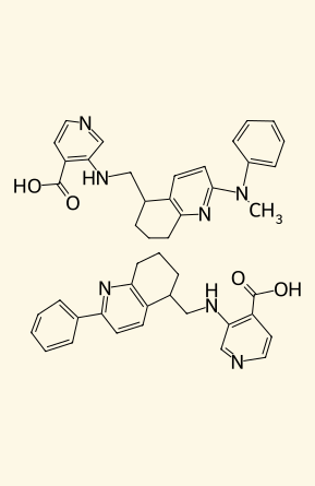 CN(c1ccccc1)c1ccc2c(n1)CCCC2CNc1cnccc1C(=O)O.O=C(O)c1ccncc1NCC1CCCc2nc(-c3ccccc3)ccc21